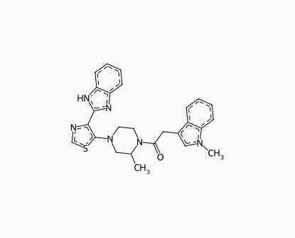 CC1CN(c2scnc2-c2nc3ccccc3[nH]2)CCN1C(=O)Cc1cn(C)c2ccccc12